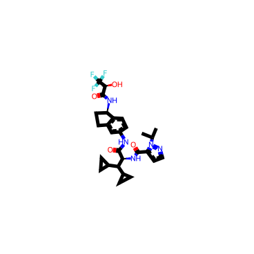 CC(C)n1nccc1C(=O)N[C@H](C(=O)Nc1ccc2c(c1)CC[C@H]2NC(=O)[C@H](O)C(F)(F)F)C(C1CC1)C1CC1